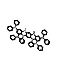 c1ccc(N(c2ccccc2)c2cc3c4c(c2)N(c2ccccc2)c2ccccc2B4c2cc4c(cc2N3)Nc2cc(N(c3ccccc3)c3ccccc3)cc3c2B4c2ccccc2N3c2ccccc2)cc1